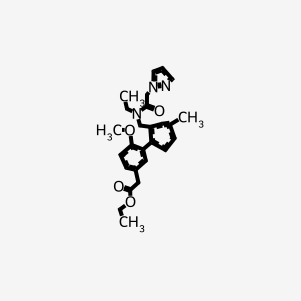 CCOC(=O)Cc1ccc(OC)c(-c2ccc(C)cc2CN(CC)C(=O)Cn2cccn2)c1